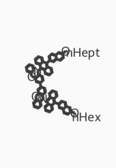 CCCCCCCOc1ccc2cc(-c3c4ccccc4c(N4c5ccccc5Oc5cc(-c6ccc7c(c6)Oc6ccccc6N7c6c7ccccc7c(-c7ccc8cc(OCCCCCC)ccc8c7)c7ccccc67)ccc54)c4ccccc34)ccc2c1